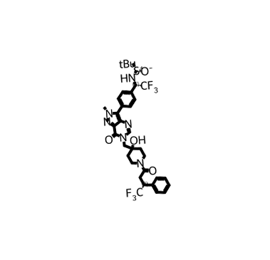 Cn1nc2c(=O)n(CC3(O)CCN(C(=O)C[C@H](c4ccccc4)C(F)(F)F)CC3)cnc2c1-c1ccc([C@H](N[S+]([O-])C(C)(C)C)C(F)(F)F)cc1